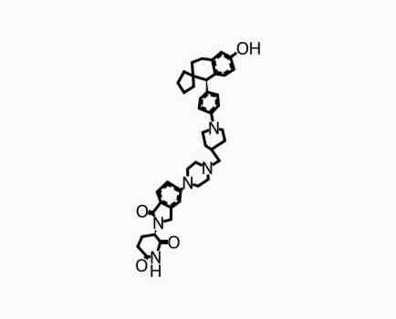 O=C1CC[C@H](N2Cc3cc(N4CCN(CC5CCN(c6ccc([C@@H]7c8ccc(O)cc8CCC78CCCC8)cc6)CC5)CC4)ccc3C2=O)C(=O)N1